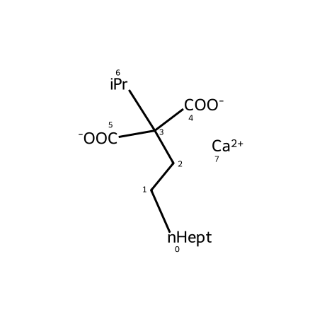 CCCCCCCCCC(C(=O)[O-])(C(=O)[O-])C(C)C.[Ca+2]